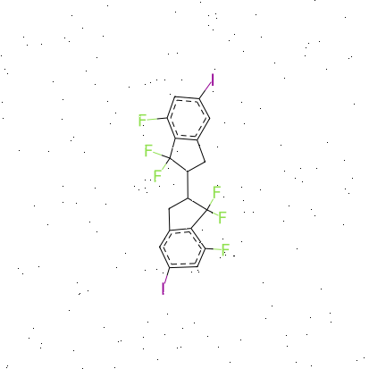 Fc1cc(I)cc2c1C(F)(F)C(C1Cc3cc(I)cc(F)c3C1(F)F)C2